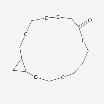 O=C1CCCCCCCC2CC2CCCCCC1